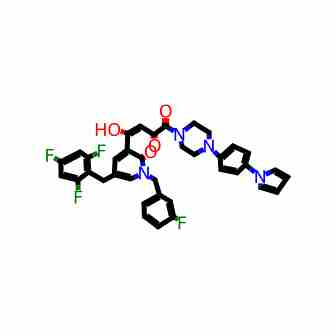 O=C(/C=C(/O)c1cc(Cc2c(F)cc(F)cc2F)cn(Cc2cccc(F)c2)c1=O)C(=O)N1CCN(c2ccc(-n3cccc3)cc2)CC1